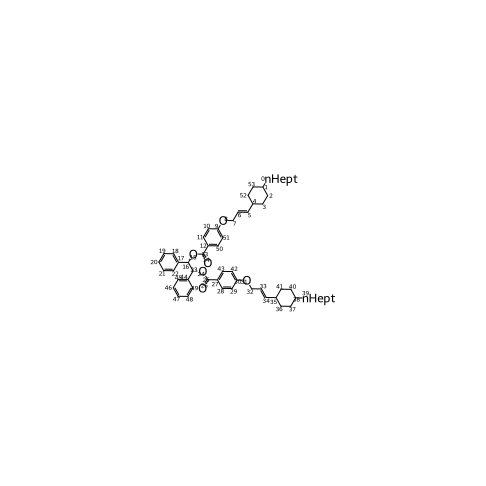 CCCCCCCC1CCC(C=CCOc2ccc(C(=O)O[C@H](c3ccccc3)[C@H](OC(=O)c3ccc(OCC=CC4CCC(CCCCCCC)CC4)cc3)c3ccccc3)cc2)CC1